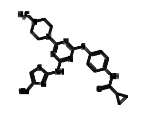 CN1CCN(c2nc(Nc3nc(C(C)(C)C)cs3)nc(Sc3ccc(NC(=O)C4CC4)cc3)n2)CC1